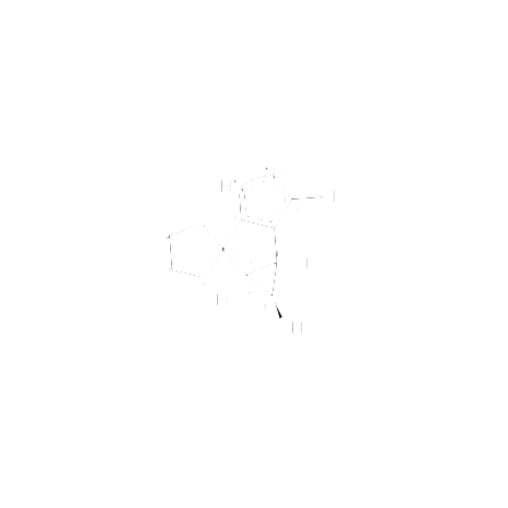 C[C@@H]1[C@@H]2c3c(C(F)(F)F)n[nH]c3C3(SCCS3)[C@H]12